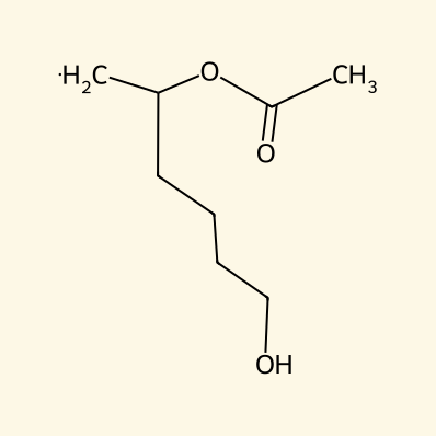 [CH2]C(CCCCO)OC(C)=O